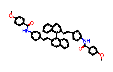 COc1ccc(C(=O)Nc2ccc(/C=C/c3ccc4ccccc4c3-c3c(/C=C/c4ccc(NC(=O)c5ccc(OC)cc5)cc4)ccc4ccccc34)cc2)cc1